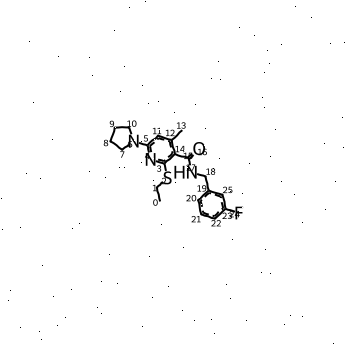 CCSc1nc(N2CCCC2)cc(C)c1C(=O)NCc1cccc(F)c1